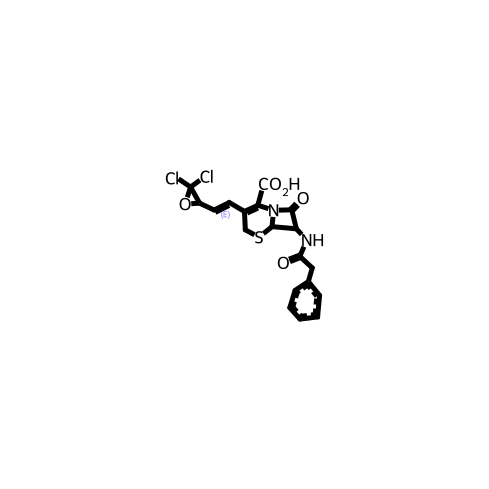 O=C(Cc1ccccc1)NC1C(=O)N2C(C(=O)O)=C(/C=C/C3OC3(Cl)Cl)CSC12